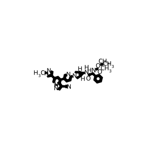 Cn1cc(-c2cc(-c3ccc(N4C[C@@H]5C(NC(=O)C(NC(=O)OC(C)(C)C)c6ccccc6)[C@@H]5C4)nc3)c3c(C#N)cnn3c2)cn1